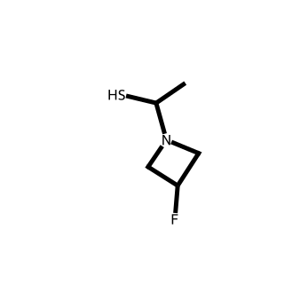 CC(S)N1CC(F)C1